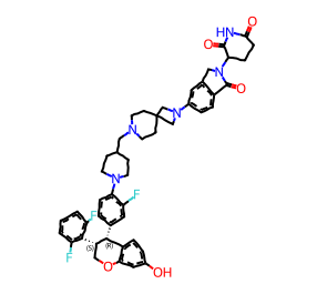 O=C1CCC(N2Cc3cc(N4CC5(CCN(CC6CCN(c7ccc([C@@H]8c9ccc(O)cc9OC[C@@H]8c8c(F)cccc8F)cc7F)CC6)CC5)C4)ccc3C2=O)C(=O)N1